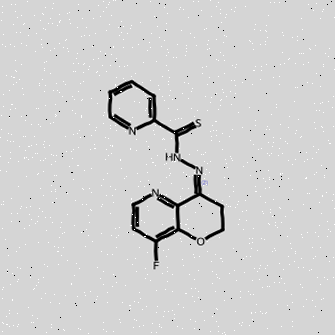 Fc1ccnc2c1OCC/C2=N/NC(=S)c1ccccn1